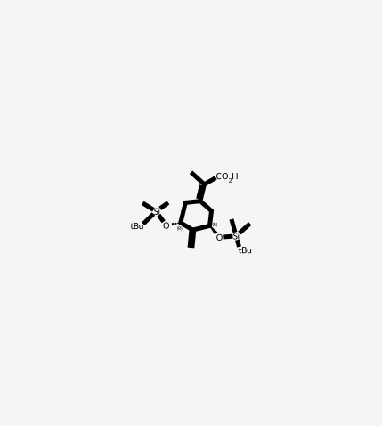 C=C1[C@H](O[Si](C)(C)C(C)(C)C)CC(=C(C)C(=O)O)C[C@H]1O[Si](C)(C)C(C)(C)C